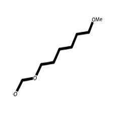 COCCCCCCOC[O]